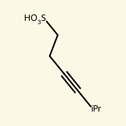 CC(C)C#CCCS(=O)(=O)O